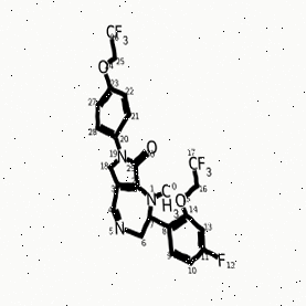 CN1C2=C(C=NCC1c1ccc(F)cc1OCC(F)(F)F)CN(c1ccc(OCC(F)(F)F)cc1)C2=O